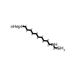 CCCCCCCCCCCCCCCCCNC[SiH3]